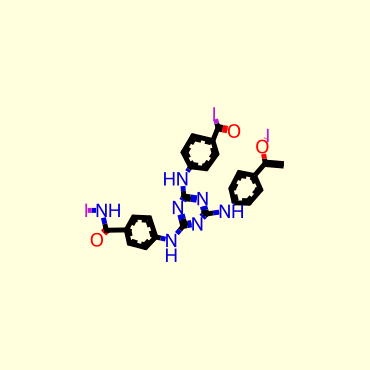 C=C(OI)c1ccc(Nc2nc(Nc3ccc(C(=O)I)cc3)nc(Nc3ccc(C(=O)NI)cc3)n2)cc1